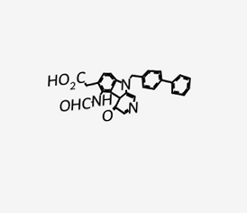 O=CNc1c(CC(=O)O)ccc2c1C1C(=O)C=NC=C1N2Cc1ccc(-c2ccccc2)cc1